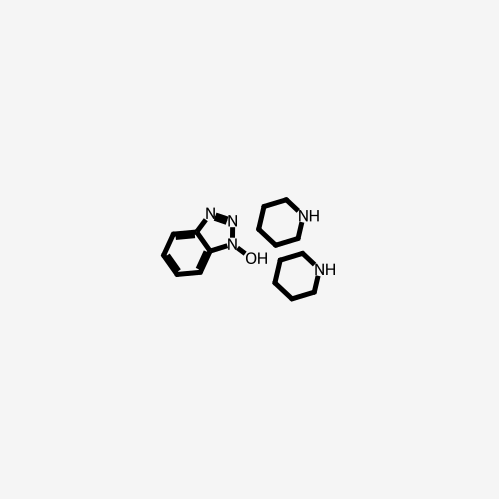 C1CCNCC1.C1CCNCC1.On1nnc2ccccc21